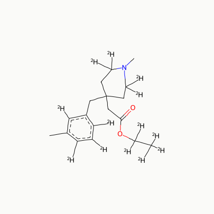 [2H]c1c([2H])c(C)c([2H])c(CC2(CC(=O)OC([2H])([2H])C([2H])([2H])[2H])CC([2H])([2H])N(C)C([2H])([2H])C2)c1[2H]